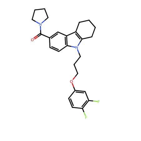 O=C(c1ccc2c(c1)c1c(n2CCCOc2ccc(F)c(F)c2)CCCC1)N1CCCC1